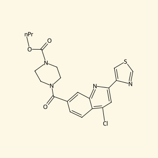 CCCOC(=O)N1CCN(C(=O)c2ccc3c(Cl)cc(-c4cscn4)nc3c2)CC1